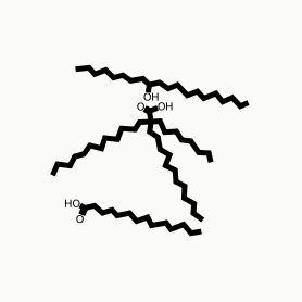 CCCCCCCCCCCC(O)CCCCCCCC.CCCCCCCCCCCCC(CCCCCCCC)(CCCCCCCCCCCC)C(=O)O.CCCCCCCCCCCCCC(=O)O